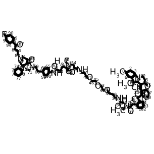 Cc1ccc2c(c1)C(C)(C)C1=[N+]2CCC2OC3CCN4C(=C3C=C12)C(C)(C)c1c(CC(=O)N(C)CC(=O)NCCCOCCOCCOCCCNC(=O)CN(C)C(=O)CCC(=O)Nc2ccc(CCN3CN(c5ccccc5)C5(CCN(CCCC(=O)c6ccc(F)cc6)CC5)C3=O)cc2)cccc14